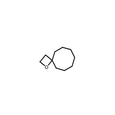 C1CCCC2(CCC1)CCO2